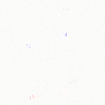 C=CC1C(C(=O)O)=CN=C2SC(C)=NC21